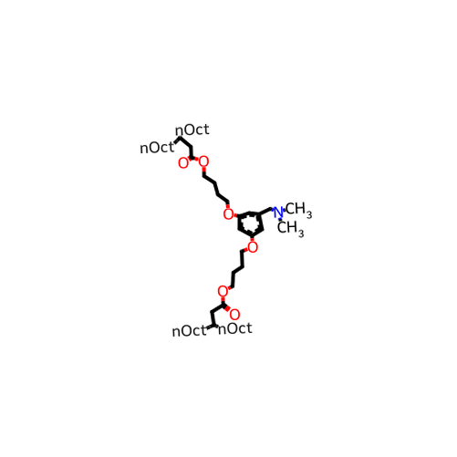 CCCCCCCCC(CCCCCCCC)CC(=O)OCCCCOc1cc(CN(C)C)cc(OCCCCOC(=O)CC(CCCCCCCC)CCCCCCCC)c1